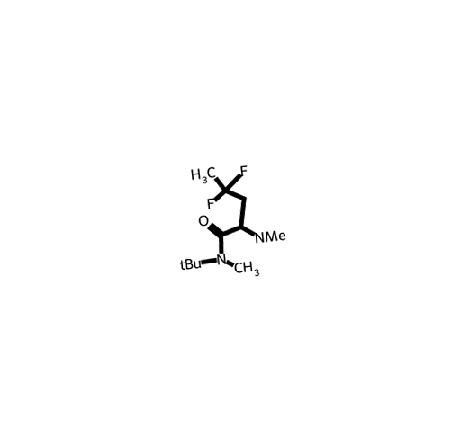 CNC(CC(C)(F)F)C(=O)N(C)C(C)(C)C